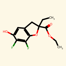 CCOC(=O)C1(CC)Cc2cc(O)c(F)c(F)c2O1